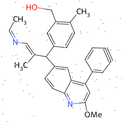 C/C=N\C=C(/C)C(c1ccc(C)c(CO)c1)c1ccc2nc(OC)cc(-c3cc#ccc3)c2c1